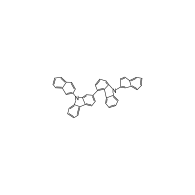 c1ccc2cc(-n3c4ccccc4c4ccc(-c5cccc6c5c5ccccc5n6-c5ccc6ccccc6c5)cc43)ccc2c1